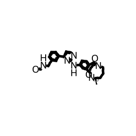 C[C@@H]1CCCN2CCON1Cc1cc(Nc3nccc(-c4cccc(CNC=O)c4)n3)ccc1C2=O